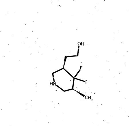 C[C@H]1CNC[C@@H](CCO)C1(F)F